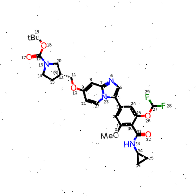 COc1cc(-c2cnc3cc(OC[C@@H]4CCN(C(=O)OC(C)(C)C)C4)ccn23)cc(OC(F)F)c1C(=O)NC1CC1